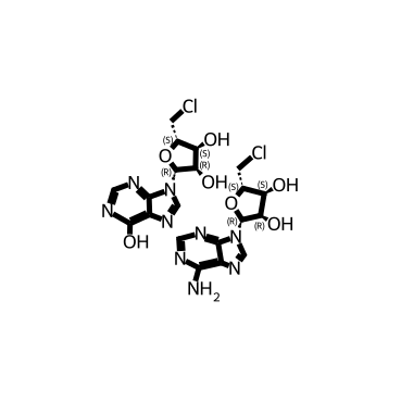 Nc1ncnc2c1ncn2[C@@H]1O[C@H](CCl)[C@@H](O)[C@H]1O.Oc1ncnc2c1ncn2[C@@H]1O[C@H](CCl)[C@@H](O)[C@H]1O